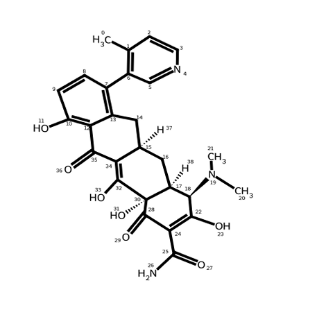 Cc1ccncc1-c1ccc(O)c2c1C[C@H]1C[C@H]3[C@@H](N(C)C)C(O)=C(C(N)=O)C(=O)[C@@]3(O)C(O)=C1C2=O